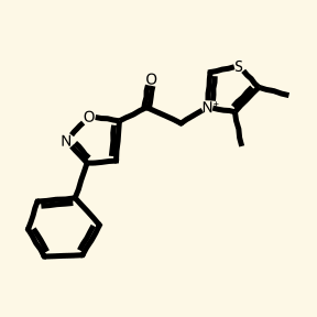 Cc1sc[n+](CC(=O)c2cc(-c3ccccc3)no2)c1C